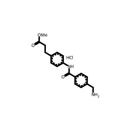 COC(=O)CCc1ccc(NC(=O)c2ccc(CN)cc2)cc1.Cl